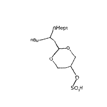 CCCCCCCC(CCCC)C1OCC(OS(=O)(=O)O)CO1